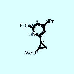 COC1CC1c1cc(C(C)C)cc(C(F)(F)F)n1